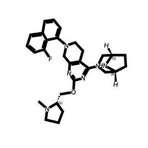 CN1CCC[C@H]1COc1nc2c(c(N3C[C@H]4CC[C@@H](C3)N4)n1)CCN(c1cccc3cccc(F)c13)C2